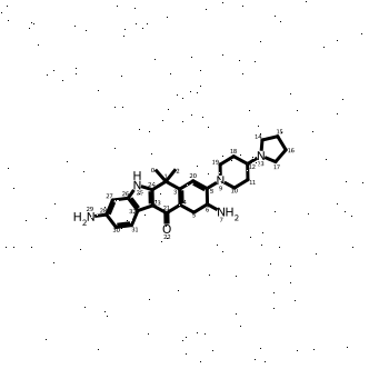 CC1(C)C2=C(CC(N)C(N3CCC(N4CCCC4)CC3)=C2)C(=O)c2c1[nH]c1cc(N)ccc21